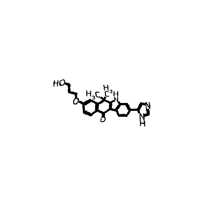 CC1(C)c2cc(OCCCO)ccc2C(=O)c2c1[nH]c1cc(-c3cnc[nH]3)ccc21